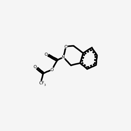 O=C(OC(=O)C(F)(F)F)N1Cc2ccccc2CO1